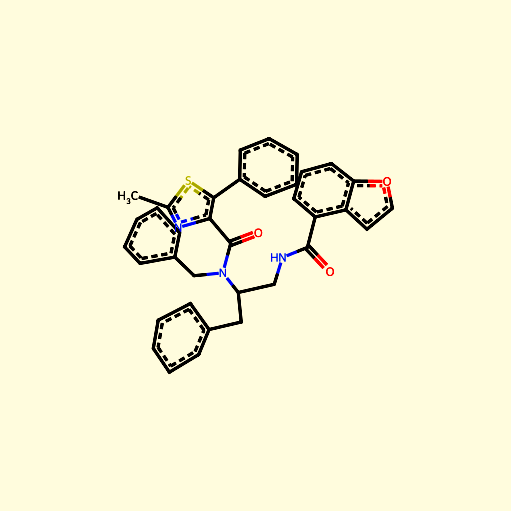 Cc1nc(C(=O)N(Cc2ccccc2)C(CNC(=O)c2cccc3occc23)Cc2ccccc2)c(-c2ccccc2)s1